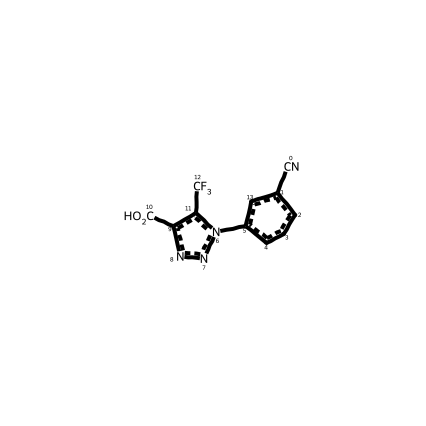 N#Cc1cccc(-n2nnc(C(=O)O)c2C(F)(F)F)c1